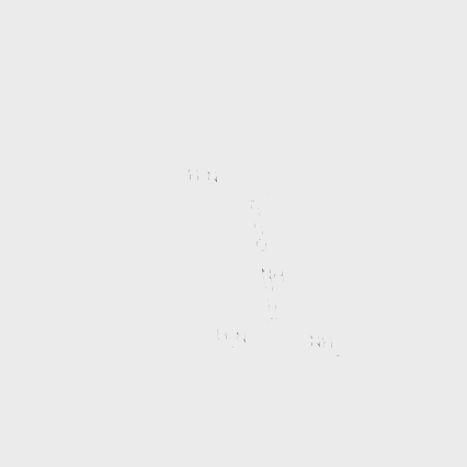 CC(N)=O.N=C(N)N